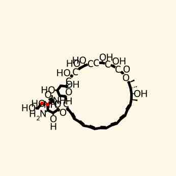 C[C@@H]1[C@H](O)[C@@H](C)/C=C/C=C/C=C/C=C/C=C/C=C/C=C/C(OC2O[C@H](C)[C@@H](O)[C@H](N)[C@@H]2O)C[C@@H]2O[C@](O)(C[C@@H](O)C[C@@H](O)[C@H](O)CC[C@@H](O)C[C@@H](O)CC(=O)O[C@H]1C)C[C@H](O)[C@H]2NC(=O)NCCO